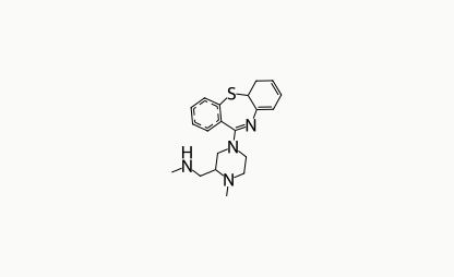 CNCC1CN(C2=NC3=CC=CCC3Sc3ccccc32)CCN1C